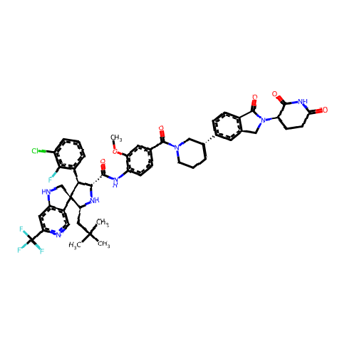 COc1cc(C(=O)N2CCC[C@@H](c3ccc4c(c3)CN(C3CCC(=O)NC3=O)C4=O)C2)ccc1NC(=O)[C@@H]1N[C@@H](CC(C)(C)C)[C@@]2(CNc3cc(C(F)(F)F)ncc32)[C@H]1c1cccc(Cl)c1F